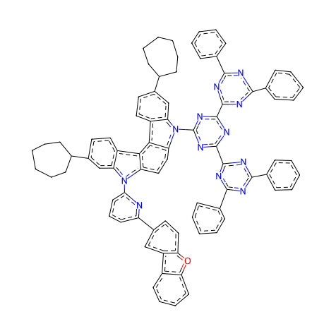 c1ccc(-c2nc(-c3ccccc3)nc(-c3nc(-c4nc(-c5ccccc5)nc(-c5ccccc5)n4)nc(-n4c5cc(C6CCCCCC6)ccc5c5c6c7ccc(C8CCCCCC8)cc7n(-c7cccc(-c8ccc9oc%10ccccc%10c9c8)n7)c6ccc54)n3)n2)cc1